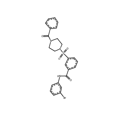 O=C(Nc1cccc(Br)c1)c1cccc(S(=O)(=O)N2CCN(C(=O)c3ccccc3)CC2)c1